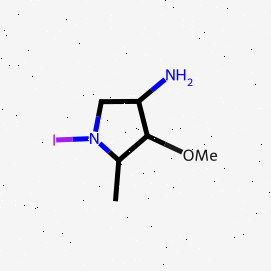 COC1C(N)CN(I)C1C